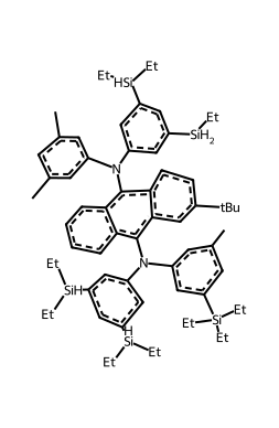 CC[SiH2]c1cc(N(c2cc(C)cc(C)c2)c2c3ccccc3c(N(c3cc([SiH](CC)CC)cc([SiH](CC)CC)c3)c3cc(C)cc([Si](CC)(CC)CC)c3)c3cc(C(C)(C)C)ccc23)cc([SiH](CC)CC)c1